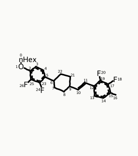 CCCCCCOc1ccc(C2CCC(/C=C/c3ccc(C)c(F)c3F)CC2)c(F)c1F